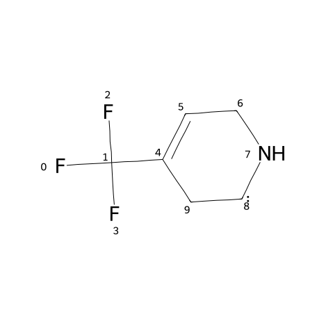 FC(F)(F)C1=CCN[C]C1